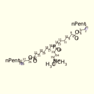 CCCCC/C=C\CCOC(=O)CCCCCCCP(CCCCCCCC(=O)OCC/C=C\CCCCC)C(=O)CCCN(C)C